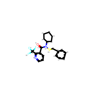 O=C(c1cccnc1C(F)(F)F)N(SCc1ccccc1)C1CCCCC1